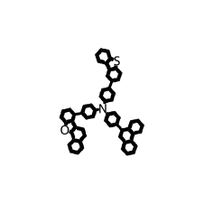 c1ccc2c(c1)cc(-c1ccc(N(c3ccc(-c4ccc5sc6ccccc6c5c4)cc3)c3ccc(-c4cccc5oc6c7ccccc7ccc6c45)cc3)cc1)c1ccccc12